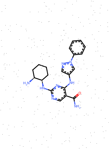 NC(=O)c1cnc(N[C@@H]2CCCC[C@@H]2N)nc1Nc1cnn(-c2ccccc2)c1